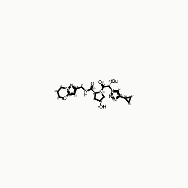 CC(C)(C)[C@@H](C(=O)N1C[C@H](O)C[C@H]1C(=O)NCc1cc2n(n1)CCCO2)n1cc(C2CC2)nn1